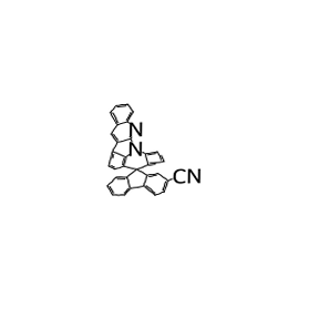 N#Cc1ccc2c(c1)C1(c3ccccc3-2)c2ccccc2-n2c3nc4ccccc4cc3c3cccc1c32